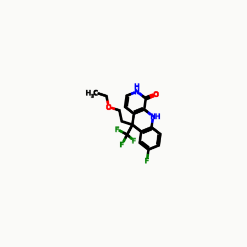 CCOCCC1(C(F)(F)F)c2cc(F)ccc2Nc2c1cc[nH]c2=O